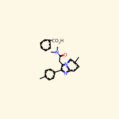 Cc1ccc(-c2nc3ccc(C)cn3c2CC(=O)N(C)C)cc1.O=C(O)c1ccccc1